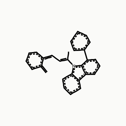 C=c1cccc/c1=C/C=C(\C)n1c2ccccc2c2cccc(-c3ccccc3)c21